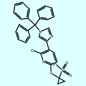 O=S(=O)(P)C1(Oc2ccc(-c3cn(C(c4ccccc4)(c4ccccc4)c4ccccc4)cn3)c(Cl)n2)CC1